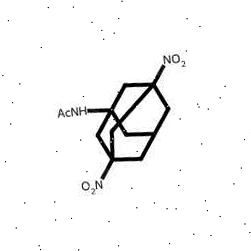 CC(=O)NC12CC3CC([N+](=O)[O-])(C1)CC([N+](=O)[O-])(C3)C2